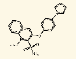 CCCCCCCCCCc1c(S(N)(=O)=O)c(Oc2ccc(-n3ccnc3)cc2)cc2ccccc12